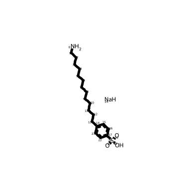 NCCCCCCCCCCCCCc1ccc(S(=O)(=O)O)cc1.[NaH]